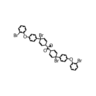 O=S(=O)(C1C=CC(Br)(c2ccc(Oc3ccccc3Br)cc2)C=C1)C1C=CC(Br)(c2ccc(Oc3ccccc3Br)cc2)C=C1